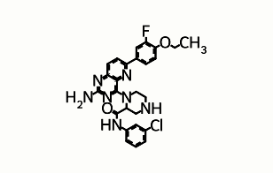 CCOc1ccc(-c2ccc3nc(N)nc(N4CCNCC4C(=O)Nc4cccc(Cl)c4)c3n2)cc1F